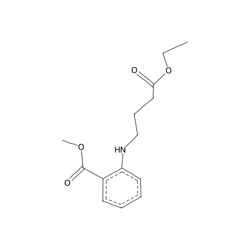 CCOC(=O)CCCNc1ccccc1C(=O)OC